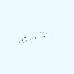 Cn1cnc2cc(-c3ccnc(Nc4ccc(N5CCOCC5)cc4)n3)ccc21